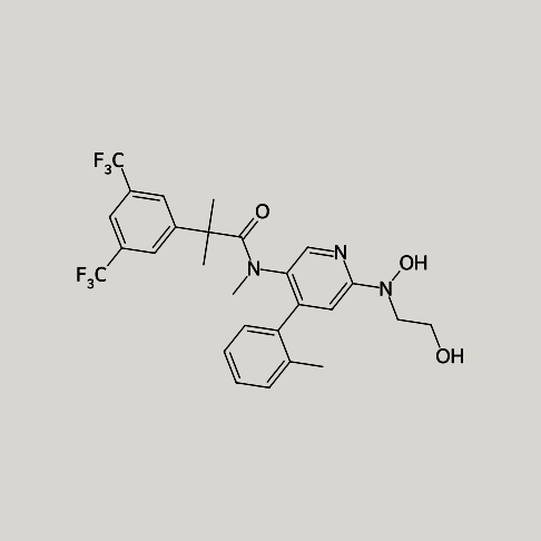 Cc1ccccc1-c1cc(N(O)CCO)ncc1N(C)C(=O)C(C)(C)c1cc(C(F)(F)F)cc(C(F)(F)F)c1